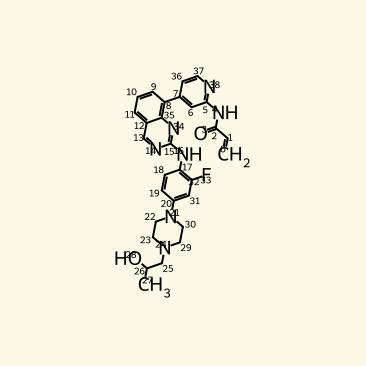 C=CC(=O)Nc1cc(-c2cccc3cnc(Nc4ccc(N5CCN(CC(C)O)CC5)cc4F)nc23)ccn1